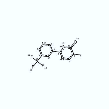 Cc1cnc(-c2cncc(C(F)(F)F)c2)[nH]c1=O